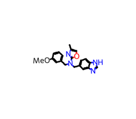 COc1cccc(CN(Cc2ccc3[nH]cnc3c2)c2nc(C)co2)c1